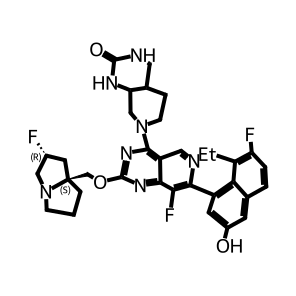 CCc1c(F)ccc2cc(O)cc(-c3ncc4c(N5CCC6CNC(=O)NC6C5)nc(OC[C@@]56CCCN5C[C@H](F)C6)nc4c3F)c12